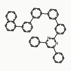 c1ccc(-c2cc(-c3ccccc3)nc(-c3cccc(-c4cccc(-c5cccc(-c6cccc(-c7cccc8ccccc78)c6)c5)c4)c3)n2)cc1